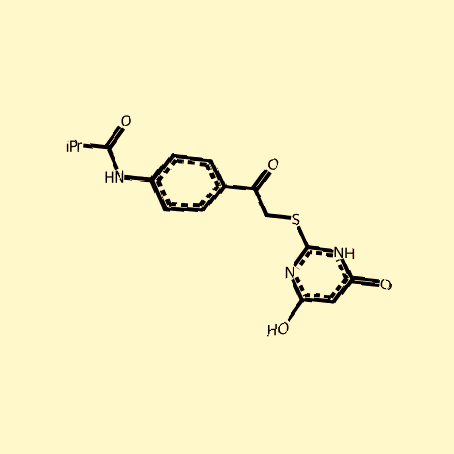 CC(C)C(=O)Nc1ccc(C(=O)CSc2nc(O)cc(=O)[nH]2)cc1